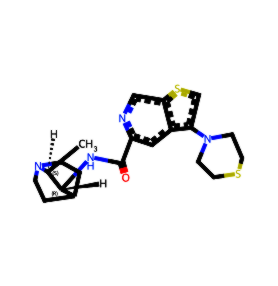 C[C@H]1[C@H](NC(=O)c2cc3c(N4CCSCC4)csc3cn2)C2CCN1CC2